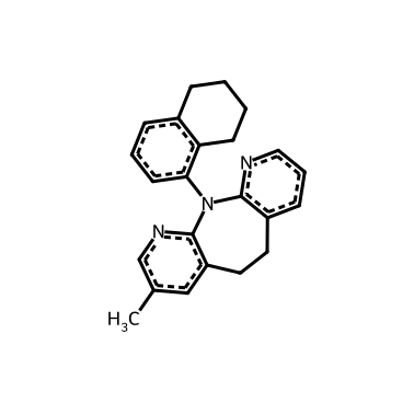 Cc1cnc2c(c1)CCc1cccnc1N2c1cccc2c1CCCC2